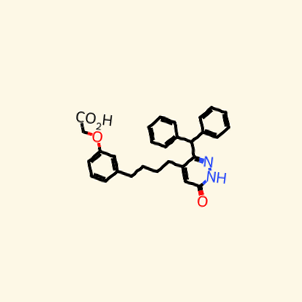 O=C(O)COc1cccc(CCCCc2cc(=O)[nH]nc2C(c2ccccc2)c2ccccc2)c1